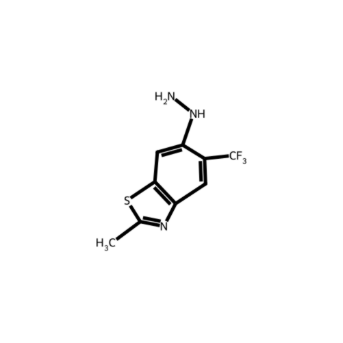 Cc1nc2cc(C(F)(F)F)c(NN)cc2s1